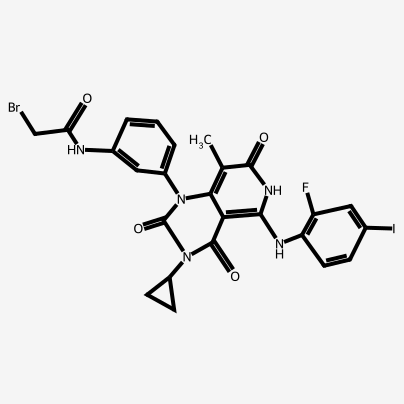 Cc1c(=O)[nH]c(Nc2ccc(I)cc2F)c2c(=O)n(C3CC3)c(=O)n(-c3cccc(NC(=O)CBr)c3)c12